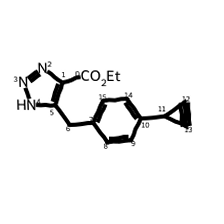 CCOC(=O)c1nn[nH]c1Cc1ccc(C2C#C2)cc1